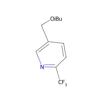 CC(C)COCc1ccc(C(F)(F)F)nc1